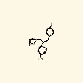 N#Cc1ccc(C(=Cc2ccc(F)cc2)Cn2ccnc2)cc1